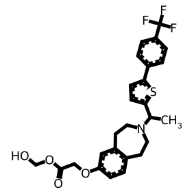 CC(c1ccc(-c2ccc(C(F)(F)F)cc2)s1)N1CCc2ccc(OCC(=O)OCO)cc2CC1